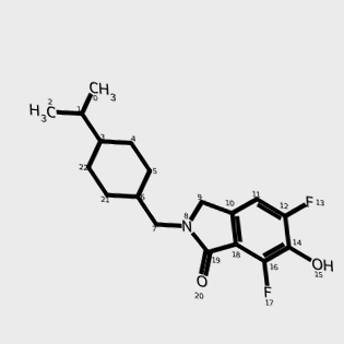 CC(C)C1CCC(CN2Cc3cc(F)c(O)c(F)c3C2=O)CC1